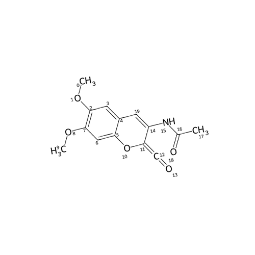 COc1cc2c(cc1OC)OC(=C=O)C(NC(C)=O)=C2